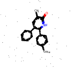 COc1ccc(-c2[nH]c(=O)c(C#N)cc2-c2ccccc2)cc1